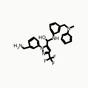 CN(Cc1cccc(NC(O)c2cc(C(F)(F)F)nn2-c2cccc(CN)c2)c1)c1ccccc1